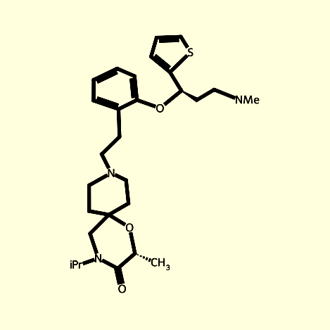 CNCC[C@@H](Oc1ccccc1CCN1CCC2(CC1)CN(C(C)C)C(=O)[C@@H](C)O2)c1cccs1